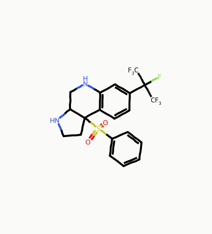 O=S(=O)(c1ccccc1)C12CCNC1CNc1cc(C(F)(C(F)(F)F)C(F)(F)F)ccc12